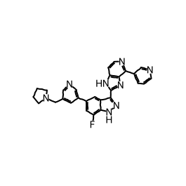 Fc1cc(-c2cncc(CN3CCCC3)c2)cc2c(-c3nc4c(-c5cccnc5)nccc4[nH]3)n[nH]c12